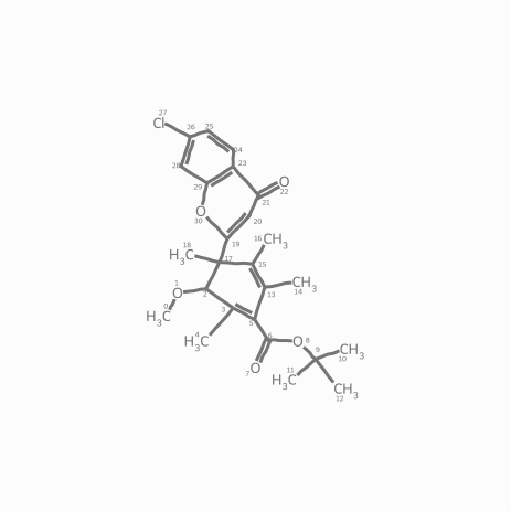 COC1C(C)=C(C(=O)OC(C)(C)C)C(C)=C(C)C1(C)c1cc(=O)c2ccc(Cl)cc2o1